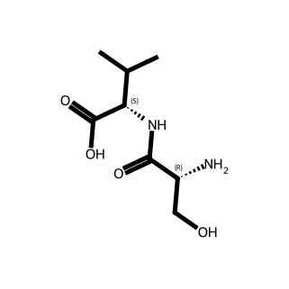 CC(C)[C@H](NC(=O)[C@H](N)CO)C(=O)O